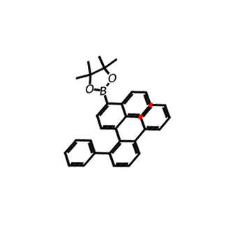 CC1(C)OB(c2ccc(-c3c(-c4ccccc4)cccc3-c3ccccc3)c3ccccc23)OC1(C)C